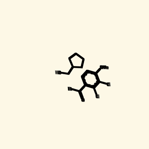 CCC(=O)c1ccc(OC)c(Cl)c1Cl.OCC1CCCC1